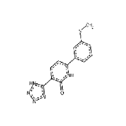 CSc1cccc(-c2ccc(-c3nnn[nH]3)c(=O)[nH]2)c1